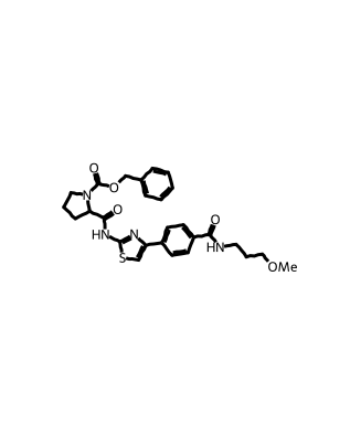 COCCCNC(=O)c1ccc(-c2csc(NC(=O)C3CCCN3C(=O)OCc3ccccc3)n2)cc1